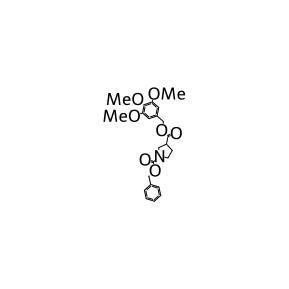 COc1cc(COC(=O)C2CCN(C(=O)OCc3ccccc3)C2)cc(OC)c1OC